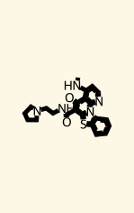 CNc1ccnc2c1c(=O)c(C(=O)NCCN1CCCC1)c1sc3ccccc3n12